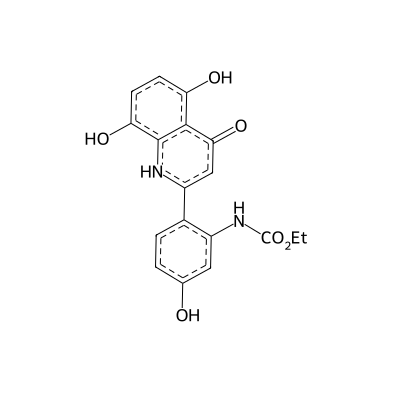 CCOC(=O)Nc1cc(O)ccc1-c1cc(=O)c2c(O)ccc(O)c2[nH]1